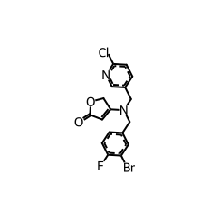 O=C1C=C(N(Cc2ccc(Cl)nc2)Cc2ccc(F)c(Br)c2)CO1